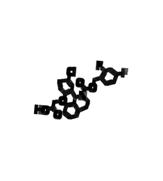 O=C(O)COc1ccc(Cl)cc1C1c2ccccc2CCN1C(=O)OCc1ccc(F)cc1F